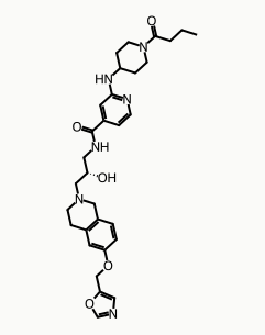 CCCC(=O)N1CCC(Nc2cc(C(=O)NC[C@H](O)CN3CCc4cc(OCc5cnco5)ccc4C3)ccn2)CC1